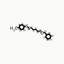 Cc1ccc(SSCCCCCOCc2ccccc2)cc1